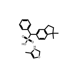 CC1(C)CCc2cc(C(c3ccccc3)S(=O)(=O)O)ccc21.CC1=COCN1